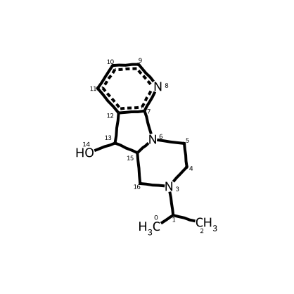 CC(C)N1CCN2c3ncccc3C(O)C2C1